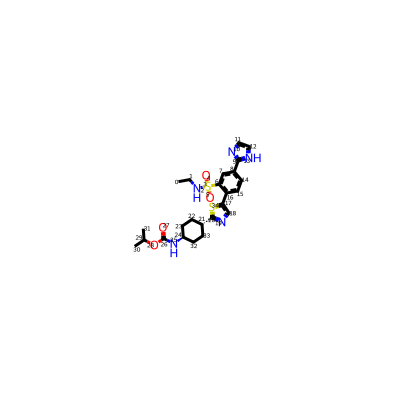 CCNS(=O)(=O)c1cc(-c2ncc[nH]2)ccc1-c1cnc([C@H]2CC[C@H](NC(=O)OC(C)C)CC2)s1